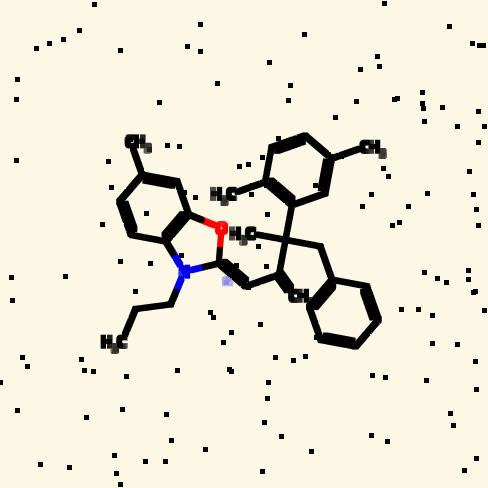 C=C(/C=C1\Oc2cc(C)ccc2N1CCC)C(C)(Cc1ccccc1)c1cc(C)ccc1C